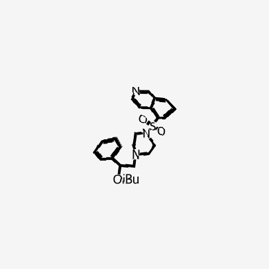 CC(C)COC(CN1CCN(S(=O)(=O)c2cccc3cnccc23)CC1)c1ccccc1